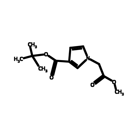 COC(=O)Cn1ccc(C(=O)OC(C)(C)C)c1